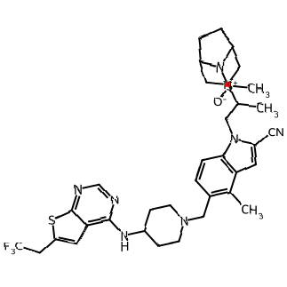 Cc1c(CN2CCC(Nc3ncnc4sc(CC(F)(F)F)cc34)CC2)ccc2c1cc(C#N)n2CC(C)N1CC2CCC(C1)N2[S+](C)[O-]